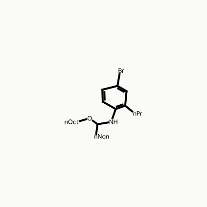 CCCCCCCCCC(Nc1ccc(Br)cc1CCC)OCCCCCCCC